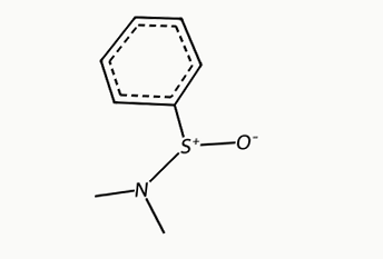 CN(C)[S+]([O-])c1ccccc1